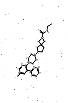 CCOC(=O)N1CC2(CC[C@@H](N3CCN(c4ncc(F)cc4-c4cnccn4)CC3)C2)C1